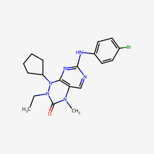 CCN1C(=O)N(C)c2cnc(Nc3ccc(Br)cc3)nc2N1C1CCCC1